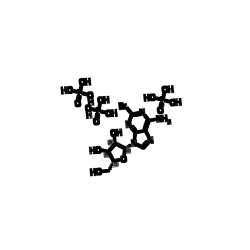 Nc1nc(Br)nc2c1ncn2[C@@H]1O[C@H](CO)[C@@H](O)[C@H]1O.O=P(O)(O)O.O=P(O)(O)O.O=P(O)(O)O